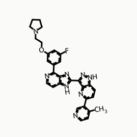 Cc1ccncc1-c1ccc2[nH]nc(-c3nc4c(-c5cc(F)cc(OCCN6CCCC6)c5)nccc4[nH]3)c2n1